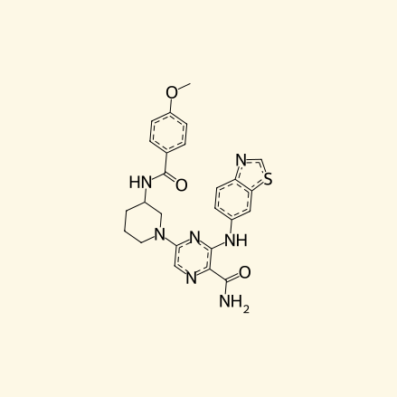 COc1ccc(C(=O)NC2CCCN(c3cnc(C(N)=O)c(Nc4ccc5ncsc5c4)n3)C2)cc1